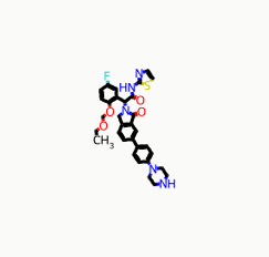 CCOCOc1ccc(F)cc1C(C(=O)Nc1nccs1)N1Cc2ccc(-c3ccc(N4CCNCC4)cc3)cc2C1=O